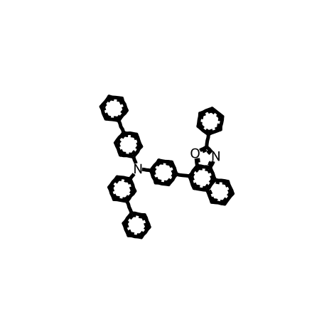 c1ccc(-c2ccc(N(c3ccc(-c4cc5ccccc5c5nc(-c6ccccc6)oc45)cc3)c3cccc(-c4ccccc4)c3)cc2)cc1